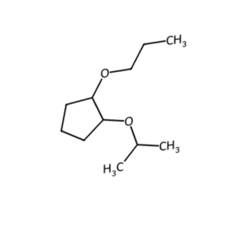 CCCOC1CCCC1OC(C)C